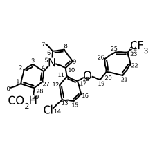 Cc1ccc(-n2c(C)ccc2-c2cc(Cl)ccc2OCc2ccc(C(F)(F)F)cc2)cc1C(=O)O